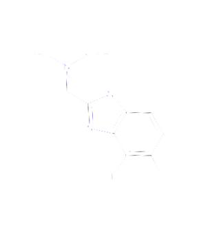 CC(C)(C)N(Cc1nc2c(F)c(F)ccc2[nH]1)C(=O)O